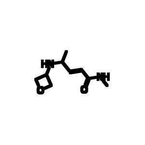 CNC(=O)C=CC(C)NC1COC1